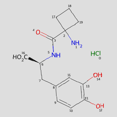 Cl.NC1(C(=O)N[C@@H](Cc2ccc(O)c(O)c2)C(=O)O)CCC1